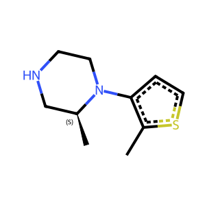 Cc1sccc1N1CCNC[C@@H]1C